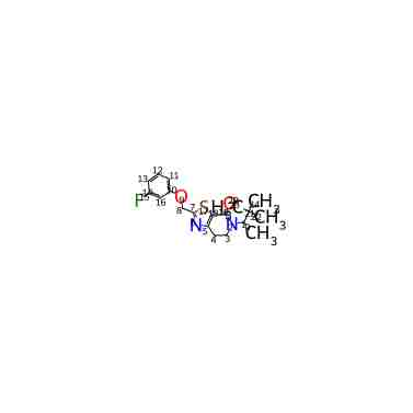 C[C@@H](N1CCc2nc(COc3cccc(F)c3)sc2C1=O)C(C)(C)C